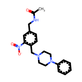 CC(=O)NCc1ccc(CN2CCN(c3ccccc3)CC2)c([N+](=O)[O-])c1